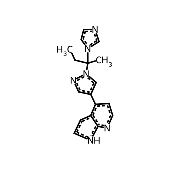 CCC(C)(n1ccnc1)n1cc(-c2ccnc3[nH]ccc23)cn1